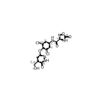 C[C@@H](O)c1cc(Oc2c(Cl)cc(NC(=O)c3noc(=O)[nH]3)cc2Cl)n[nH]c1=O